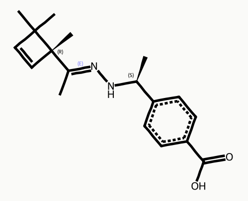 C/C(=N\N[C@@H](C)c1ccc(C(=O)O)cc1)[C@]1(C)C=CC1(C)C